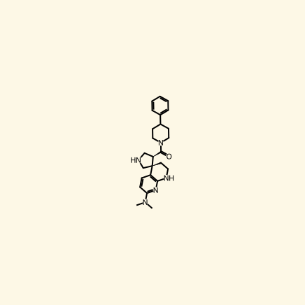 CN(C)c1ccc2c(n1)NCC[C@]21CNC[C@H]1C(=O)N1CCC(c2ccccc2)CC1